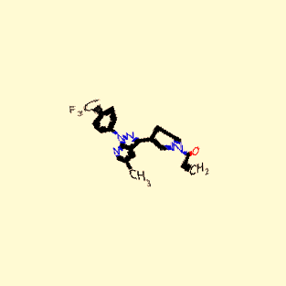 C=CC(=O)N1CCC(c2nn(-c3ccc(C(F)(F)F)cc3)c3ncc(C)cc23)C1